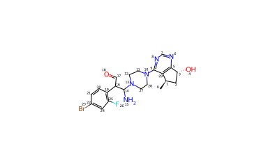 C[C@@H]1C[C@@H](O)c2ncnc(N3CCN(C(N)C(C=O)c4ccc(Br)cc4F)CC3)c21